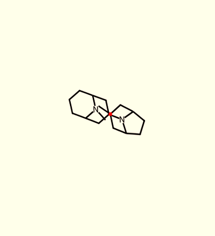 CC1CC2CCC(C1)N2C1CC2CCCC(C1)N2C